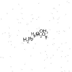 O.O.O.[PbH2].[Y].[Y]